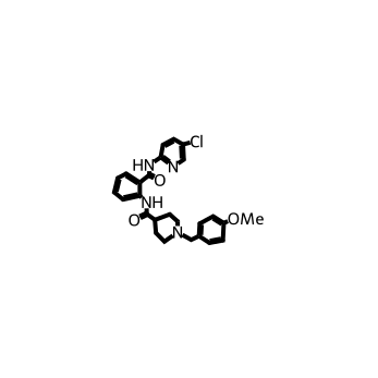 COc1ccc(CN2CCC(C(=O)Nc3ccccc3C(=O)Nc3ccc(Cl)cn3)CC2)cc1